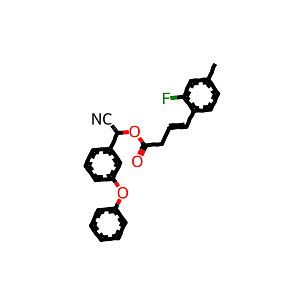 Cc1ccc(C=CCC(=O)OC(C#N)c2cccc(Oc3ccccc3)c2)c(F)c1